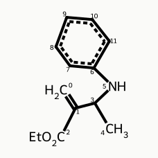 C=C(C(=O)OCC)C(C)Nc1ccccc1